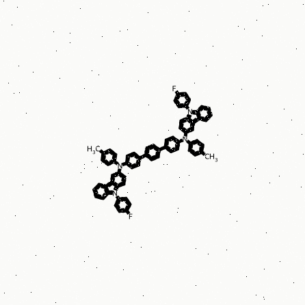 Cc1ccc(N(c2ccc(-c3ccc(-c4ccc(N(c5ccc(C)cc5)c5ccc6c(c5)c5ccccc5n6-c5ccc(F)cc5)cc4)cc3)cc2)c2ccc3c(c2)c2ccccc2n3-c2ccc(F)cc2)cc1